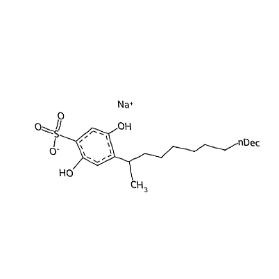 CCCCCCCCCCCCCCCCC(C)c1cc(O)c(S(=O)(=O)[O-])cc1O.[Na+]